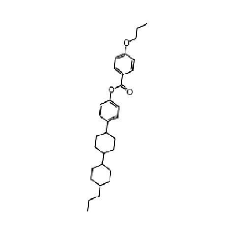 CCCOc1ccc(C(=O)Oc2ccc(C3CCC(C4CCC(CCC)CC4)CC3)cc2)cc1